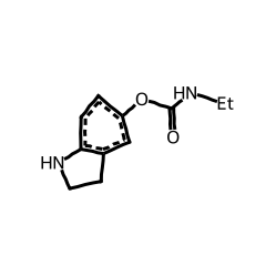 CCNC(=O)Oc1ccc2c(c1)CCN2